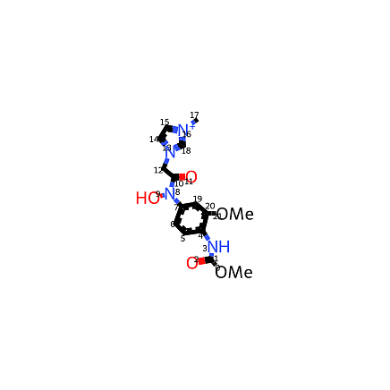 COC(=O)Nc1ccc(N(O)C(=O)Cn2cc[n+](C)c2)cc1OC